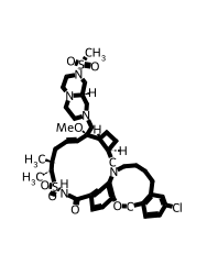 CO[C@@]1(CN2CCN3CCN(S(C)(=O)=O)C[C@H]3C2)/C=C/C[C@H](C)[C@@H](C)S(=O)(=O)NC(=O)c2ccc3c(c2)N(CCCCc2cc(Cl)ccc2CO3)C[C@@H]2CC[C@H]21